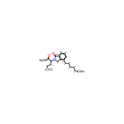 CNC(=O)C(CCC=O)N1Cc2c(CCCCCOC)cccc2C1=O